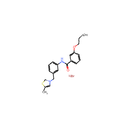 Br.CCCCCCCCCCCCOc1cccc(C(=O)Nc2cccc(CN3C=C(C)SC3)c2)c1